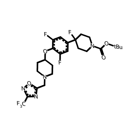 CC(C)(C)OC(=O)N1CCC(F)(c2cc(F)c(OC3CCN(Cc4nc(C(F)(F)F)no4)CC3)c(F)c2)CC1